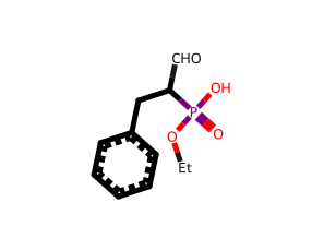 CCOP(=O)(O)C(C=O)Cc1ccccc1